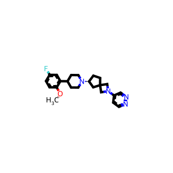 COc1ccc(F)cc1C1CCN([C@@H]2CCC3(C2)CN(c2ccnnc2)C3)CC1